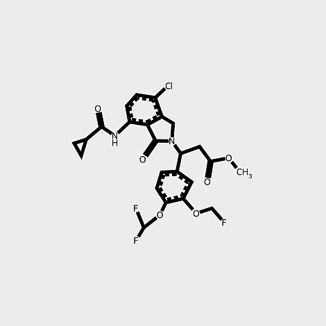 COC(=O)CC(c1ccc(OC(F)F)c(OCF)c1)N1Cc2c(Cl)ccc(NC(=O)C3CC3)c2C1=O